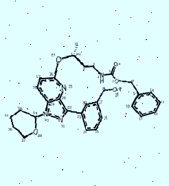 C[C@H](CCNC(=O)OCc1ccccc1)Oc1ccc2c(n1)c(-c1cccc(CO)c1)nn2C1CCCCO1